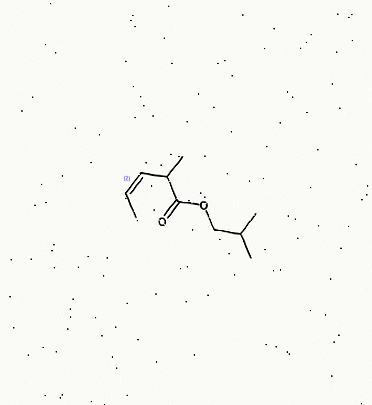 C/C=C\C(C)C(=O)OCC(C)C